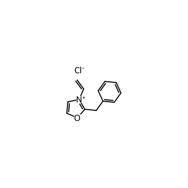 C=C[n+]1ccoc1Cc1ccccc1.[Cl-]